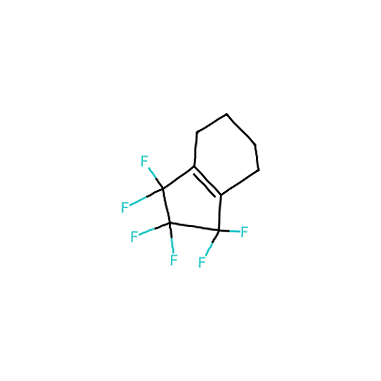 FC1(F)C2=C(CCCC2)C(F)(F)C1(F)F